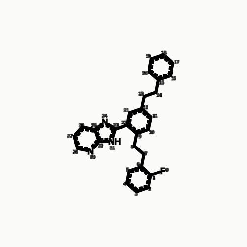 Fc1ccccc1CCc1ccc(CCc2ccccc2)cc1-c1nc2cccnc2[nH]1